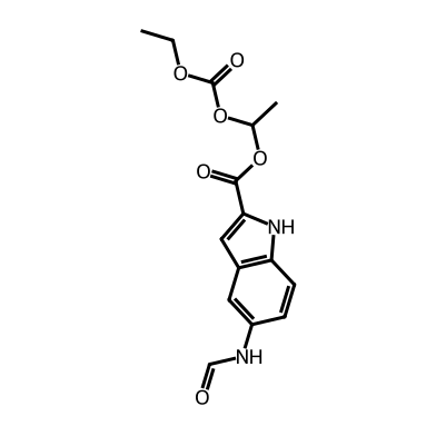 CCOC(=O)OC(C)OC(=O)c1cc2cc(NC=O)ccc2[nH]1